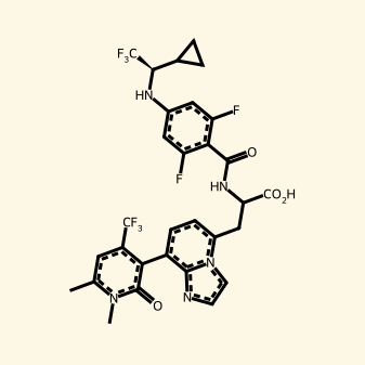 Cc1cc(C(F)(F)F)c(-c2ccc(CC(NC(=O)c3c(F)cc(N[C@H](C4CC4)C(F)(F)F)cc3F)C(=O)O)n3ccnc23)c(=O)n1C